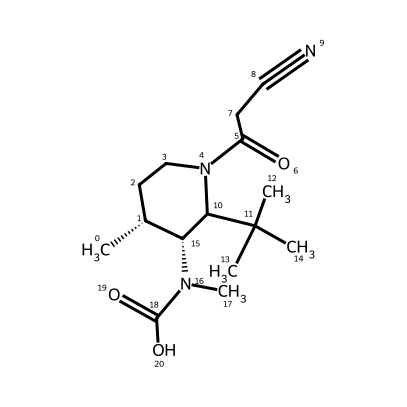 C[C@@H]1CCN(C(=O)CC#N)C(C(C)(C)C)[C@@H]1N(C)C(=O)O